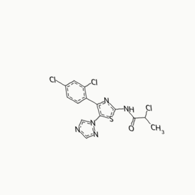 CC(Cl)C(=O)Nc1nc(-c2ccc(Cl)cc2Cl)c(-n2cncn2)s1